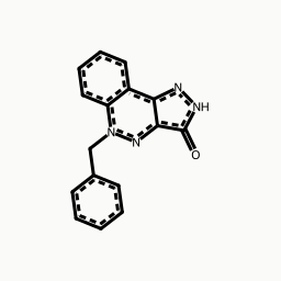 O=c1[nH]nc2c3ccccc3n(Cc3ccccc3)nc1-2